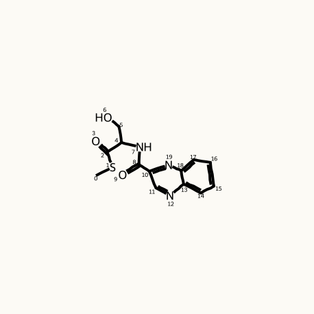 CSC(=O)C(CO)NC(=O)c1cnc2ccccc2n1